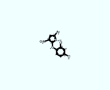 CC(=O)c1cc([N+](=O)[O-])c(Oc2ccc(Cl)cc2Cl)s1